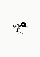 C=N/C(=N\C=C/C)c1cccc(Cl)c1